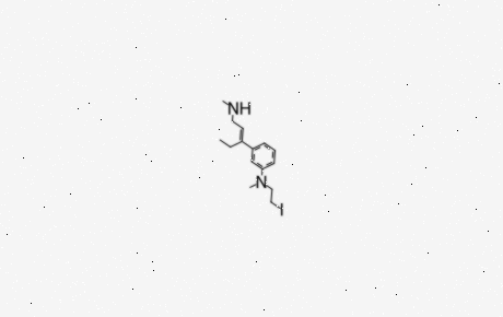 CC/C(=C\CNC)c1cccc(N(C)CCI)c1